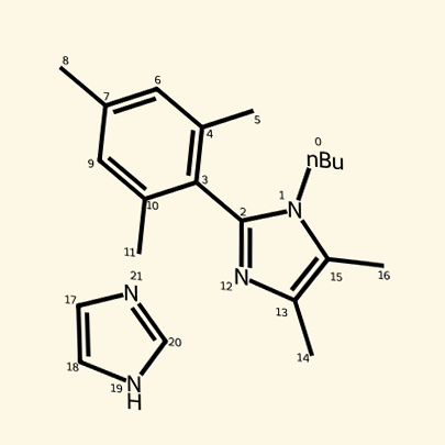 CCCCn1c(-c2c(C)cc(C)cc2C)nc(C)c1C.c1c[nH]cn1